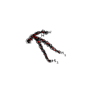 COCCOCCOCCOCCOCCOCCOCCOCCOCCOCCOCCOCCCC1(CCCOCCOCCOCCOCCOCCOCCOCCOCCOCCOCCOCCOC)c2cc(-c3ccc(OCCCCNC(=O)CCC(=O)O)cc3)ccc2-c2ccc(-c3ccc4c(c3)Cc3ccccc3-4)cc21